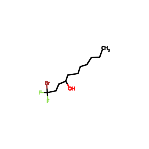 CCCCCCCC(O)CCC(F)(F)Br